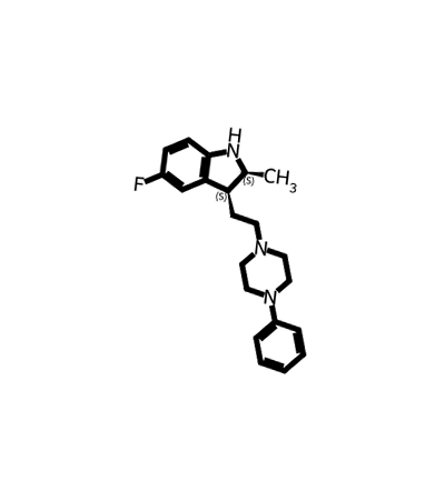 C[C@@H]1Nc2ccc(F)cc2[C@@H]1CCN1CCN(c2ccccc2)CC1